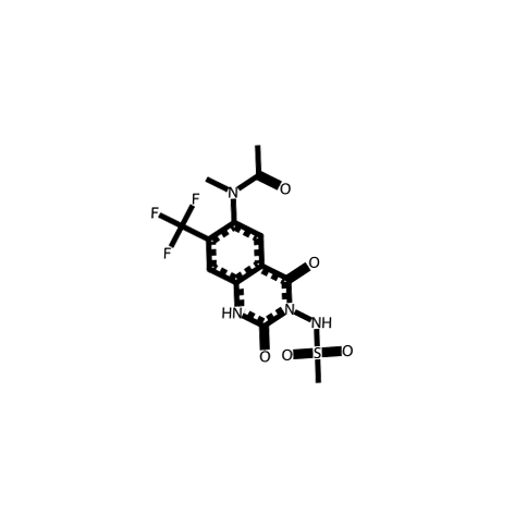 CC(=O)N(C)c1cc2c(=O)n(NS(C)(=O)=O)c(=O)[nH]c2cc1C(F)(F)F